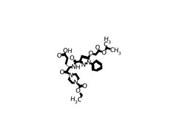 CCOC(=O)N1CCN(C(=O)[C@H](CCC(=O)O)NC(=O)c2cc(OCC(=O)OC(C)C)n(-c3ccccc3)n2)CC1